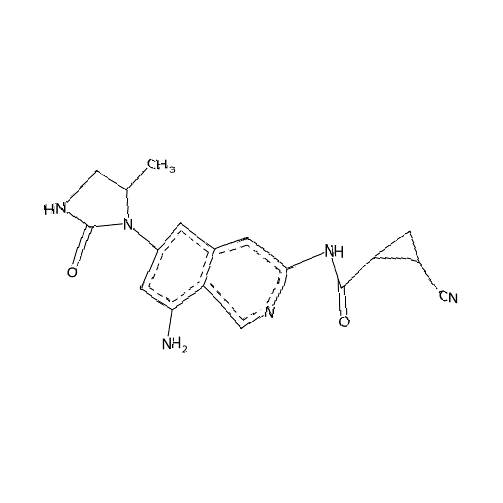 CC1CNC(=O)N1c1cc(N)c2cnc(NC(=O)C3CC3C#N)cc2c1